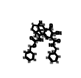 CC1(C)[C@@H]2CC[C@@]1(C)C(NC(=O)OCc1ccccc1)c1nc(C(=O)NCc3ccccc3)c(O)c(=O)n1C2